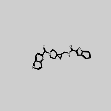 O=C(NCC1CC12CCN(C(=O)c1ccc3cnccc3n1)CC2)c1cc2ccccc2o1